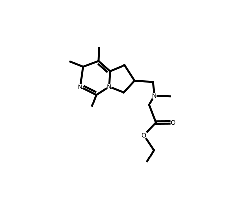 CCOC(=O)CN(C)CC1CC2=C(C)C(C)N=C(C)N2C1